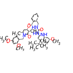 C=C(/C=C(/NC(=O)NCc1ccccc1COc1cc(C)n(Cc2ccc(OC)cc2OC)c(=O)c1C)Nc1cccc(OC)c1)C(C)(C)C